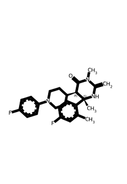 C=C1N[C@](C)(c2ccc(F)cc2C)[C@@H](C2CCN(c3ccc(F)cc3)CC2)C(=O)N1C